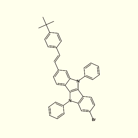 CC(C)(C)c1ccc(C=Cc2ccc3c(c2)n(-c2ccccc2)c2c4ccc(Br)cc4n(-c4ccccc4)c32)cc1